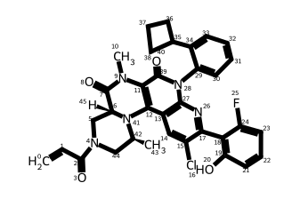 C=CC(=O)N1C[C@@H]2C(=O)N(C)c3c(c4cc(Cl)c(-c5c(O)cccc5F)nc4n(-c4ccccc4C4CCC4)c3=O)N2[C@@H](C)C1